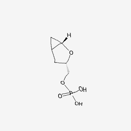 O=P(O)(O)OC[C@@H]1CC2C[C@@H]2O1